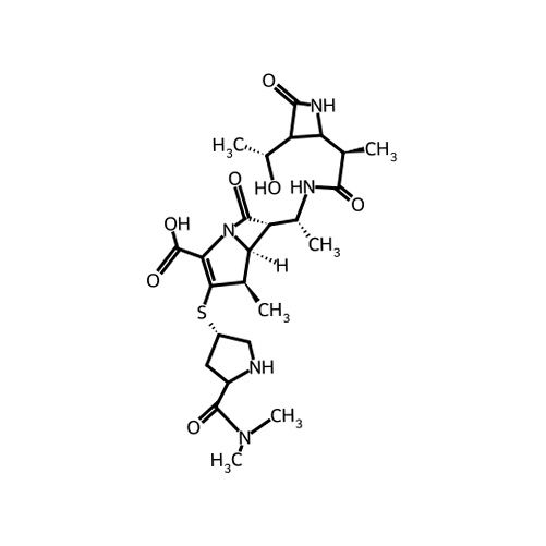 C[C@@H](O)C1C(=O)NC1[C@@H](C)C(=O)N[C@H](C)[C@H]1C(=O)N2C(C(=O)O)=C(S[C@@H]3CNC(C(=O)N(C)C)C3)[C@H](C)[C@H]12